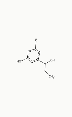 [CH2]CC(O)c1cc(O)cc(F)c1